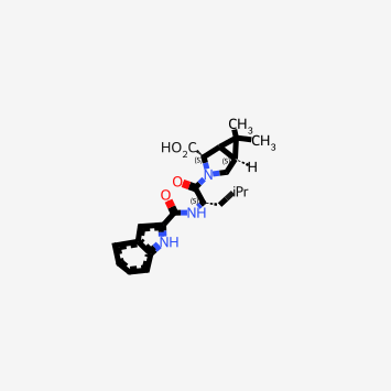 CC(C)C[C@H](NC(=O)c1cc2ccccc2[nH]1)C(=O)N1C[C@H]2C([C@H]1C(=O)O)C2(C)C